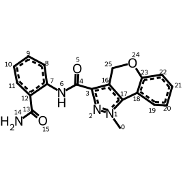 Cn1nc(C(=O)Nc2ccccc2C(N)=O)c2c1-c1ccccc1OC2